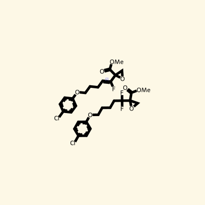 COC(=O)C1(/C(F)=C/CCCOc2ccc(Cl)cc2)CO1.COC(=O)C1(C(F)(F)CCCCOc2ccc(Cl)cc2)CO1